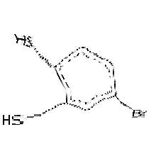 Sc1ccc(Br)cc1S